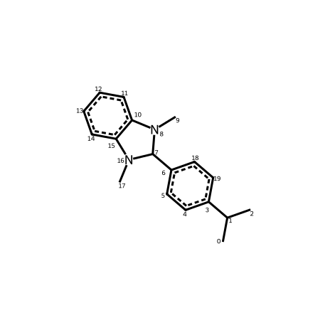 CC(C)c1ccc(C2N(C)c3ccccc3N2C)cc1